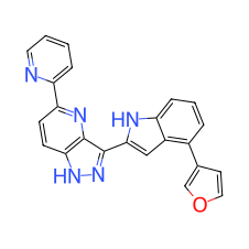 c1ccc(-c2ccc3[nH]nc(-c4cc5c(-c6ccoc6)cccc5[nH]4)c3n2)nc1